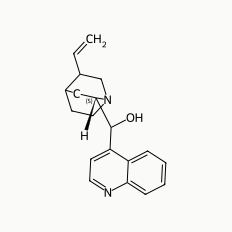 C=CC1CN2CCC1C[C@H]2C(O)c1ccnc2ccccc12